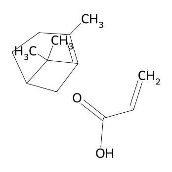 C=CC(=O)O.CC1=C2CC(CC1)C2(C)C